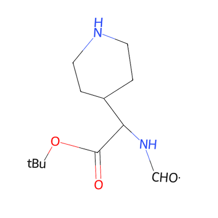 CC(C)(C)OC(=O)C(N[C]=O)C1CCNCC1